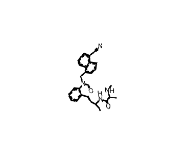 CN[C@@H](C)C(=O)NC(C)CCc1ccccc1N(C=O)Cc1cccc2c(C#N)cccc12